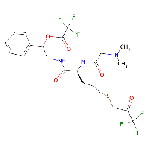 CN(C)CC(=O)N[C@@H](CCCSCC(=O)C(F)(F)F)C(=O)NCC(OC(=O)C(F)(F)F)c1ccccc1